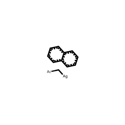 CC(=O)[CH2][Ag].c1ccc2ccccc2c1